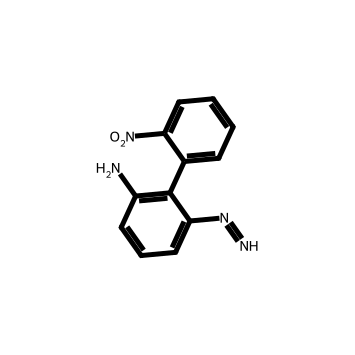 N=Nc1cccc(N)c1-c1ccccc1[N+](=O)[O-]